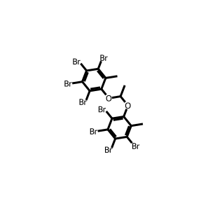 Cc1c(Br)c(Br)c(Br)c(Br)c1OC(C)Oc1c(C)c(Br)c(Br)c(Br)c1Br